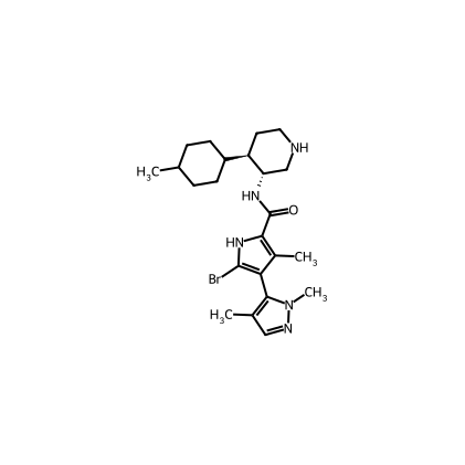 Cc1cnn(C)c1-c1c(Br)[nH]c(C(=O)N[C@H]2CNCC[C@@H]2C2CCC(C)CC2)c1C